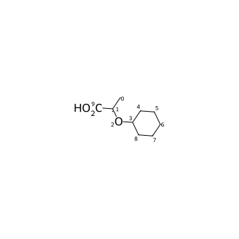 C[C](OC1CCCCC1)C(=O)O